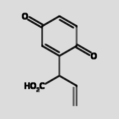 C=CC(C(=O)O)C1=CC(=O)C=CC1=O